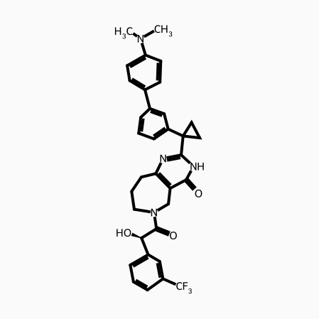 CN(C)c1ccc(-c2cccc(C3(c4nc5c(c(=O)[nH]4)CN(C(=O)[C@H](O)c4cccc(C(F)(F)F)c4)CCC5)CC3)c2)cc1